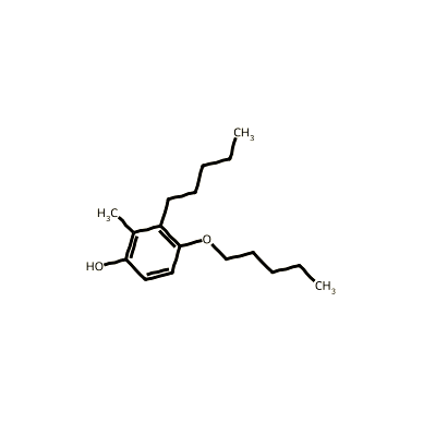 CCCCCOc1ccc(O)c(C)c1CCCCC